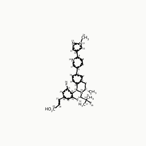 C[C@H]1Cc2cc(-c3ccc(-c4cnn(C)c4)nc3)ccc2[C@H](c2c(F)cc(/C=C/C(=O)O)cc2F)N1CC(C)(C)F